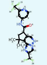 CC1(C)CC(C(=O)Nc2ccnc(C(F)(F)F)c2)c2cnn3cc(C(F)F)nc3c21